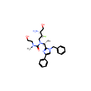 CN(CCO)C(=O)N(C[C@H](F)[C@H](N)CO)[C@@H](c1nc(-c2ccccc2)cn1Cc1ccccc1)C(C)(C)C